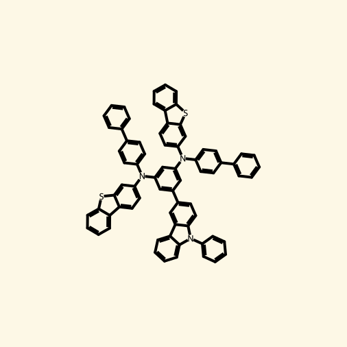 c1ccc(-c2ccc(N(c3cc(-c4ccc5c(c4)c4ccccc4n5-c4ccccc4)cc(N(c4ccc(-c5ccccc5)cc4)c4ccc5c(c4)sc4ccccc45)c3)c3ccc4c(c3)sc3ccccc34)cc2)cc1